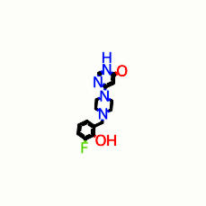 O=c1cc(N2CCN(Cc3cccc(F)c3O)CC2)nc[nH]1